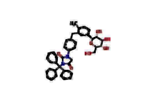 Cc1ccc([C@@H]2O[C@H](CO)[C@@H](O)[C@H](O)[C@H]2O)cc1Cc1ccc(N2CC(=O)N(C(c3ccccc3)(c3ccccc3)c3ccccc3)C2=O)cc1